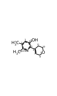 Cc1cc(O)c(C2=CCOCC2)nc1C